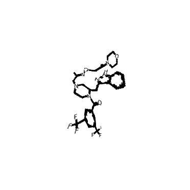 CC(CN1CCN(C(=O)c2cc(C(F)(F)F)cc(C(F)(F)F)c2)C(Cc2n[nH]c3ccccc23)C1)=NOCCN1CCOCC1